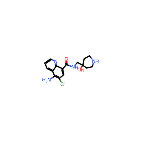 Nc1c(Cl)cc(C(=O)NCC2(O)CCNCC2)c2ncccc12